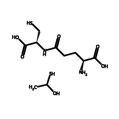 CC(O)S.N[C@@H](CCC(=O)N[C@@H](CS)C(=O)O)C(=O)O